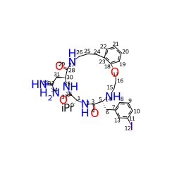 CC(C)[C@H]1NC(=O)[C@@H](Cc2cccc(I)c2)NCCOc2ccccc2CCCNC(=O)[C@H](CC(=N)N)NC1=O